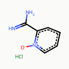 Cl.N=C(N)c1cccc[n+]1[O-]